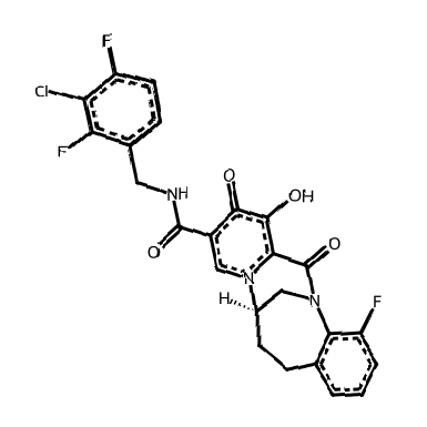 O=C(NCc1ccc(F)c(Cl)c1F)c1cn2c(c(O)c1=O)C(=O)N1C[C@H]2CCc2cccc(F)c21